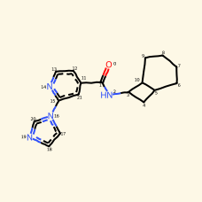 O=C(NC1CC2CCCCC21)c1ccnc(-n2ccnc2)c1